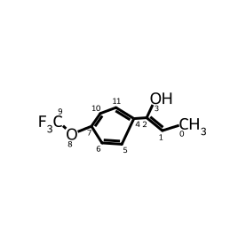 CC=C(O)c1ccc(OC(F)(F)F)cc1